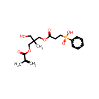 C=C(C)C(=O)OCC(C)(CO)COC(=O)CCP(=O)(O)c1ccccc1